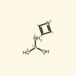 C1=CN=C1.NP(O)O